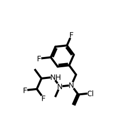 C=C(Cl)N(Cc1cc(F)cc(F)c1)N(C)NC(C)C(F)F